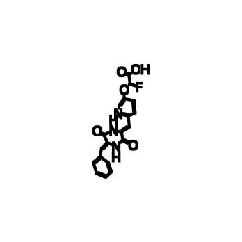 O=C(O)C(F)Oc1ccc(C=c2[nH]c(=O)/c(=C/c3ccccc3)[nH]c2=O)nc1